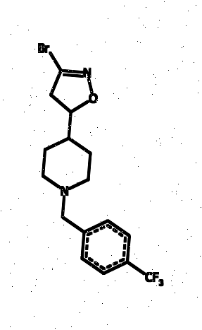 FC(F)(F)c1ccc(CN2CCC(C3CC(Br)=NO3)CC2)cc1